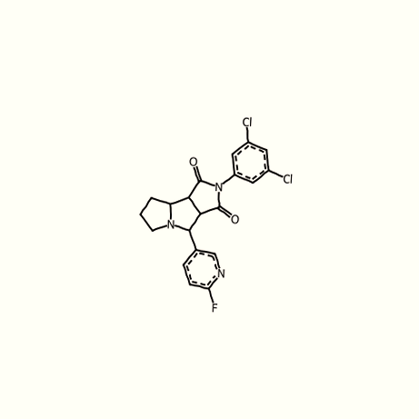 O=C1C2C(C(=O)N1c1cc(Cl)cc(Cl)c1)C(c1ccc(F)nc1)N1CCCC21